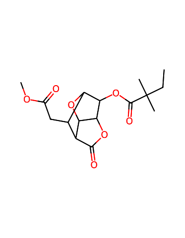 CCC(C)(C)C(=O)OC1C2OC3C1OC(=O)C3C2CC(=O)OC